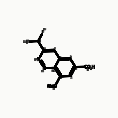 COc1cc(C(=O)O)cc2cc(C(F)F)nnc12